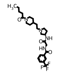 CCCCC(=O)N1CCC(CCN2CC[C@@H](NC(=O)CNC(=O)c3cccc(C(F)(F)F)c3)C2)CC1